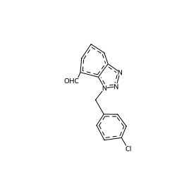 O=Cc1cccc2nnn(Cc3ccc(Cl)cc3)c12